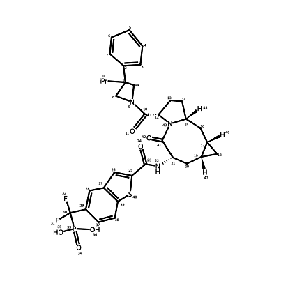 CC(C)C1(c2ccccc2)CN(C(=O)[C@@H]2CC[C@@H]3C[C@@H]4C[C@@H]4C[C@H](NC(=O)c4cc5cc(C(F)(F)P(=O)(O)O)ccc5s4)C(=O)N32)C1